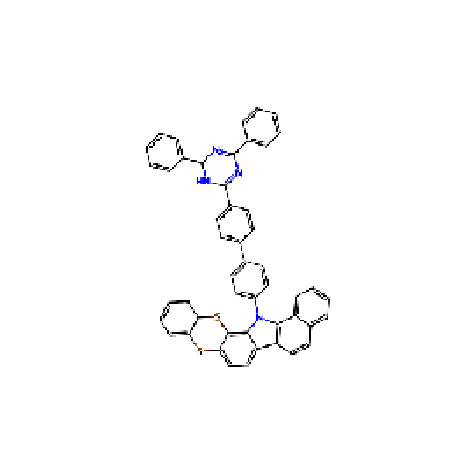 C1=CCC2Sc3c(ccc4c5ccc6ccccc6c5n(-c5ccc(-c6ccc(C7=NC(c8ccccc8)=NC(c8ccccc8)N7)cc6)cc5)c34)SC2=C1